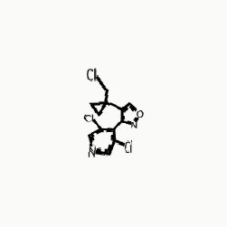 ClCC1(c2conc2-c2c(Cl)cncc2Cl)CC1